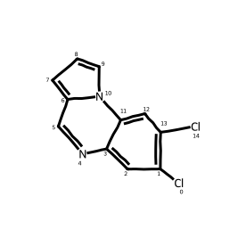 Clc1cc2ncc3cccn3c2cc1Cl